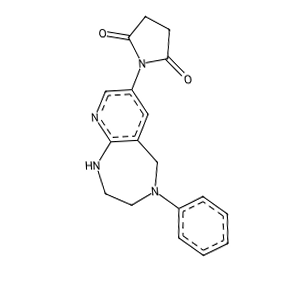 O=C1CCC(=O)N1c1cnc2c(c1)CN(c1ccccc1)CCN2